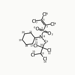 O=S(=O)(C(Cl)=C(Cl)Cl)N(SC(Cl)(Cl)C(Cl)Cl)C1CCCCC1